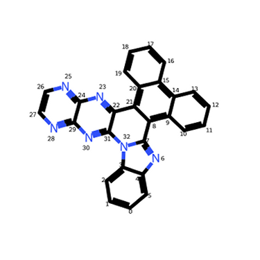 c1ccc2c(c1)nc1c3c4ccccc4c4ccccc4c3c3nc4nccnc4nc3n21